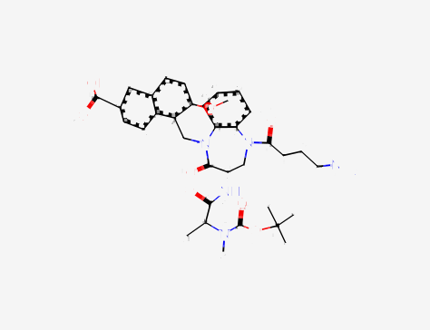 COc1ccc2cc(C(=O)O)ccc2c1CN1C(=O)[C@@H](NC(=O)C(C)N(C)C(=O)OC(C)(C)C)CN(C(=O)CCCN)c2ccccc21